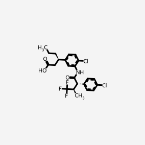 CCC[C@H](CC(=O)O)c1ccc(Cl)c(NC(=O)[C@H](c2ccc(Cl)cc2)[C@@H](C)C(F)(F)F)c1